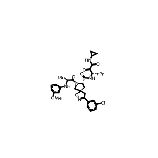 CCC[C@H](NC(=O)[C@@H]1C[C@]2(CC(c3cccc(Cl)c3)=NO2)CN1C(=O)[C@@H](Nc1cccc(OC)c1)C(C)(C)C)C(=O)C(=O)NC1CC1